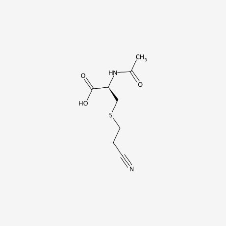 CC(=O)N[C@@H](CSCCC#N)C(=O)O